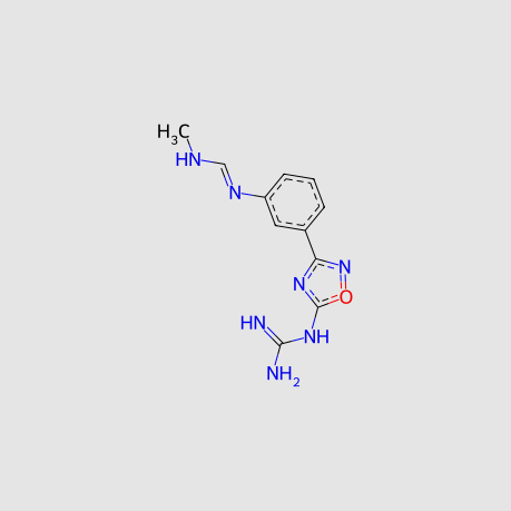 CN/C=N/c1cccc(-c2noc(NC(=N)N)n2)c1